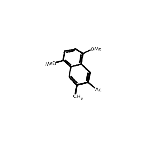 COc1ccc(OC)c2cc(C(C)=O)c(C)cc12